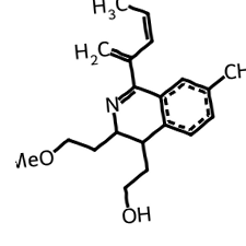 C=C(/C=C\C)C1=NC(CCOC)C(CCO)c2ccc(C)cc21